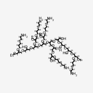 CCOCC(COCC(O)COCC(COCC(COC(COCC(CO)OCC(O)COCC(O)COCC(COI)OCCCSCCN)COC(CC)COCC(CO)OCCCSCCN)OCC(COCCCSCCN)OCC)OCC(COCCCSCCN)OI)OCCCSCCN